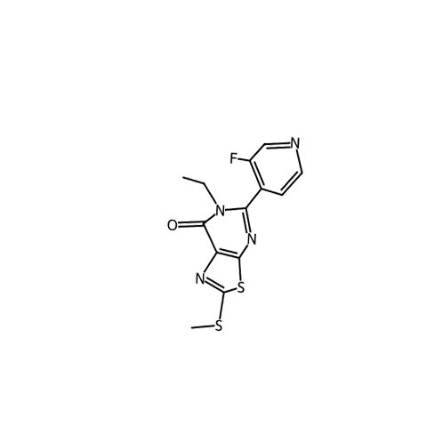 CCn1c(-c2ccncc2F)nc2sc(SC)nc2c1=O